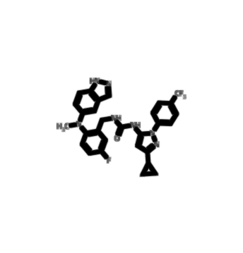 CN(c1ccc2[nH]ncc2c1)c1ccc(F)cc1CNC(=O)Nc1cc(C2CC2)nn1-c1ccc(C(F)(F)F)cc1